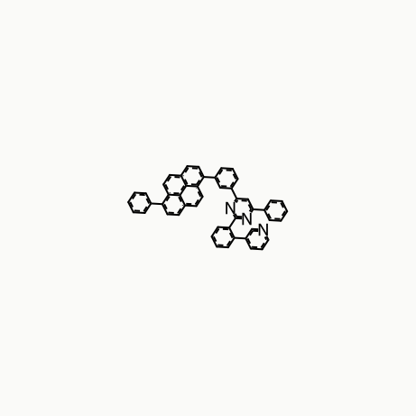 c1ccc(-c2cc(-c3cccc(-c4ccc5ccc6c(-c7ccccc7)ccc7ccc4c5c76)c3)nc(-c3ccccc3-c3cccnc3)n2)cc1